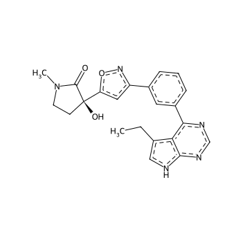 CCc1c[nH]c2ncnc(-c3cccc(-c4cc([C@]5(O)CCN(C)C5=O)on4)c3)c12